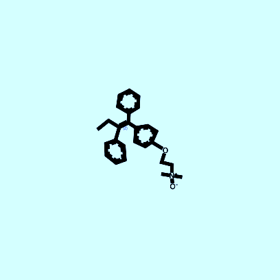 CC/C(=C(\c1ccccc1)c1ccc(OCC[N+](C)(C)[O-])cc1)c1ccccc1